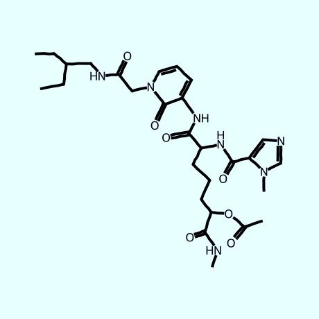 CCC(CC)CNC(=O)Cn1cccc(NC(=O)C(CCCC(OC(C)=O)C(=O)NC)NC(=O)c2cncn2C)c1=O